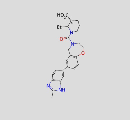 CCC1[C@@H](C(=O)O)CCCN1C(=O)N1CCOc2ccc(-c3ccc4nc(C)[nH]c4c3)cc2C1